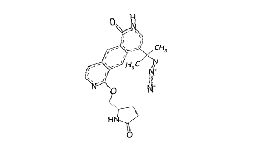 CC(C)(N=[N+]=[N-])c1c[nH]c(=O)c2cc3ccnc(OC[C@@H]4CCC(=O)N4)c3cc12